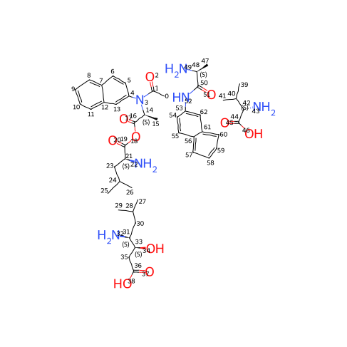 CC(=O)N(c1ccc2ccccc2c1)[C@@H](C)C(=O)OC(=O)[C@@H](N)CC(C)C.CC(C)C[C@H](N)[C@@H](O)CC(=O)O.CC(C)[C@H](N)C(=O)O.C[C@H](N)C(=O)Nc1ccc2ccccc2c1